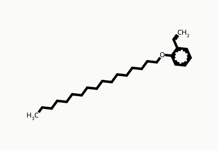 C=Cc1ccccc1OCCCCCCCCCCCCCCCCC